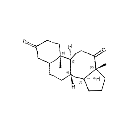 C[C@@]12CCC[C@H]1[C@@H]1CCC3CC(=O)CC[C@]3(C)[C@H]1CC2=O